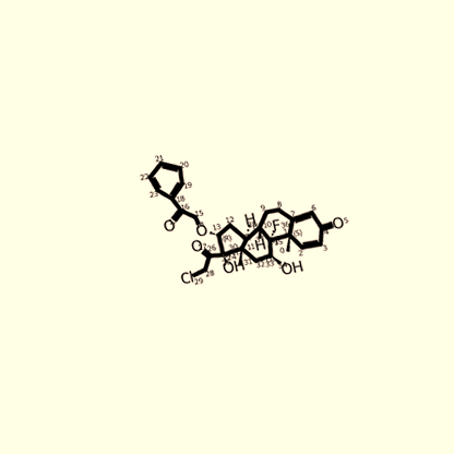 C[C@]12C=CC(=O)C=C1CC[C@H]1[C@@H]3C[C@@H](OCC(=O)c4ccccc4)[C@](O)(C(=O)CCl)[C@@]3(C)C[C@H](O)[C@@]12F